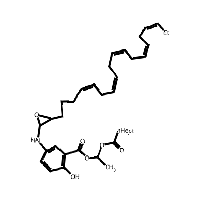 CC/C=C\C/C=C\C/C=C\C/C=C\C/C=C\CCCC1OC1Nc1ccc(O)c(C(=O)OC(C)OC(=O)CCCCCCC)c1